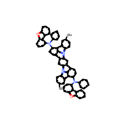 CC(C)(C)c1ccc2c(c1)c1c(N(c3ccccc3)c3cccc4oc5ccccc5c34)ccc3c4cc5c(cc4n2c31)c1ccc(N(c2ccccc2)c2cccc3oc4ccccc4c23)c2c3cc(C(C)(C)C)ccc3n5c12